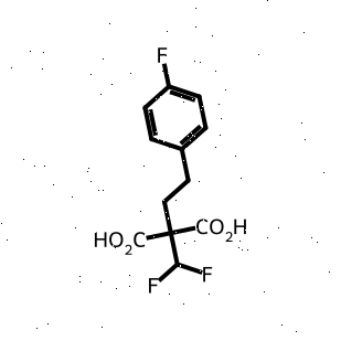 O=C(O)C(CCc1ccc(F)cc1)(C(=O)O)C(F)F